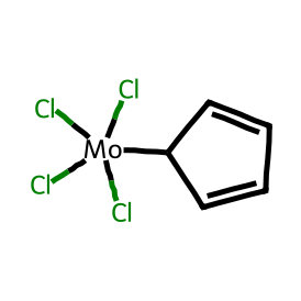 [Cl][Mo]([Cl])([Cl])([Cl])[CH]1C=CC=C1